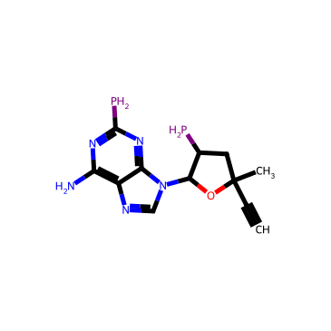 C#CC1(C)CC(P)C(n2cnc3c(N)nc(P)nc32)O1